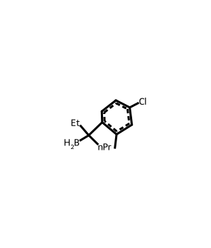 BC(CC)(CCC)c1ccc(Cl)cc1C